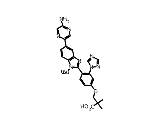 CC(C)(COc1ccc(-c2nc3cc(-c4cnc(N)cn4)ccc3n2C(C)(C)C)c(-n2cncn2)c1)C(=O)O